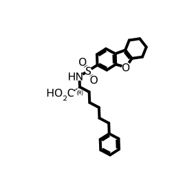 O=C(O)[C@@H](CCCCCc1ccccc1)NS(=O)(=O)c1ccc2c3c(oc2c1)CCCC3